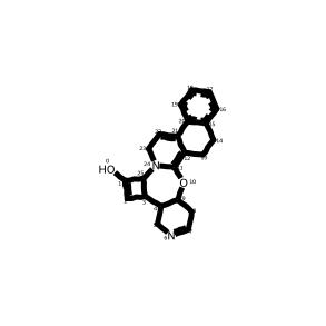 OC1=CC2C3CN=CCC3OC3=C4CCc5ccccc5C4=CCN3C12